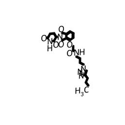 CCCCc1cn(CCCCNC(=O)COc2cccc3c2C(=O)N(C2CCC(=O)NC2=O)C3=O)nn1